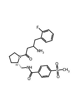 CS(=O)(=O)c1ccc(C(=O)NC[C@@H]2CCCN2C(=O)CC(N)Cc2ccccc2F)cc1